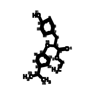 CCOC(=O)C(Cc1ccc(O)cc1)Oc1ccc(C(C)C)cc1